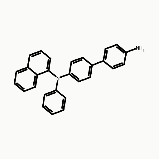 Nc1ccc(-c2ccc(N(c3ccccc3)c3cccc4ccccc34)cc2)cc1